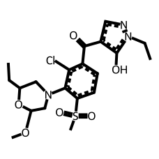 CCC1CN(c2c(S(C)(=O)=O)ccc(C(=O)c3cnn(CC)c3O)c2Cl)CC(OC)O1